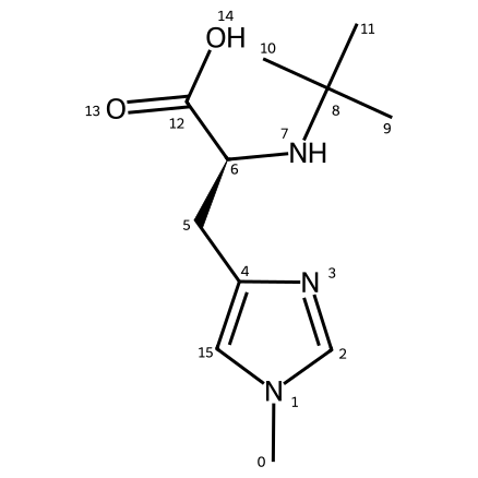 Cn1cnc(C[C@H](NC(C)(C)C)C(=O)O)c1